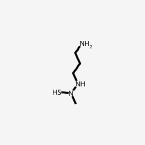 CN(S)NCCCN